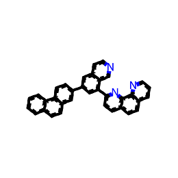 c1ccc2c(c1)ccc1cc(-c3cc(-c4ccc5ccc6cccnc6c5n4)c4cnccc4c3)ccc12